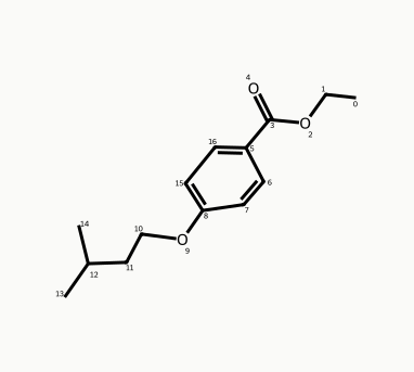 CCOC(=O)c1ccc(OCCC(C)C)cc1